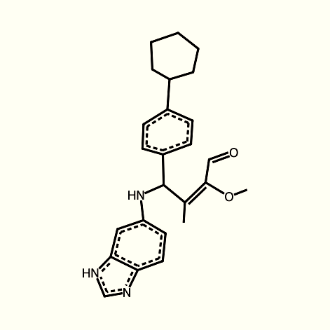 CO/C(C=O)=C(\C)C(Nc1ccc2nc[nH]c2c1)c1ccc(C2CCCCC2)cc1